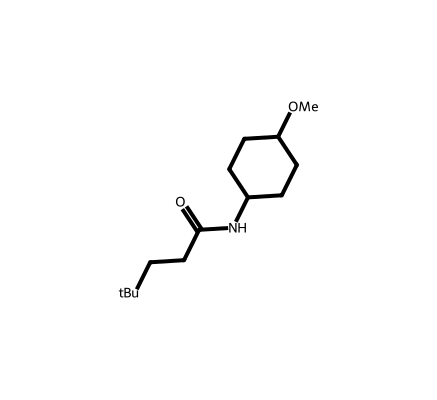 COC1CCC(NC(=O)CCC(C)(C)C)CC1